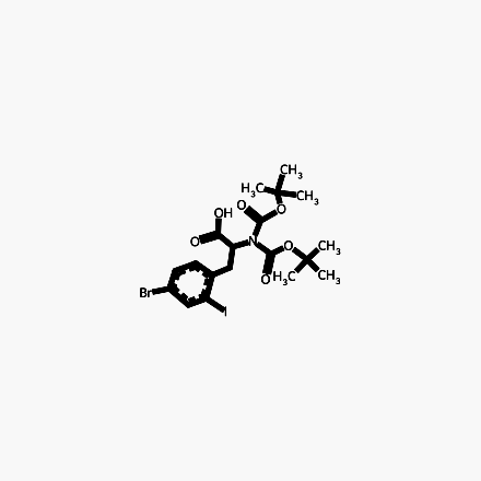 CC(C)(C)OC(=O)N(C(=O)OC(C)(C)C)C(Cc1ccc(Br)cc1I)C(=O)O